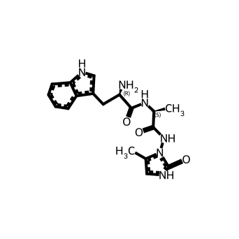 Cc1c[nH]c(=O)n1NC(=O)[C@H](C)NC(=O)[C@H](N)Cc1c[nH]c2ccccc12